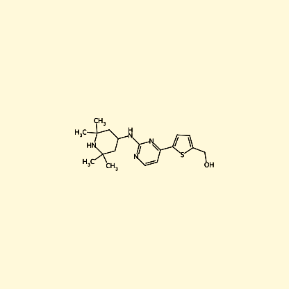 CC1(C)CC(Nc2nccc(-c3ccc(CO)s3)n2)CC(C)(C)N1